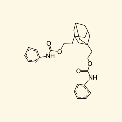 O=C(Nc1ccccc1)OCCC12CC3CC(C1)CC(CCOC(=O)Nc1ccccc1)(C3)C2